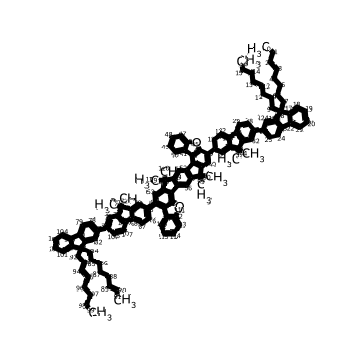 CCCCCCCCC1(CCCCCCCC)c2ccccc2-c2ccc(-c3ccc4c(c3)C(C)(C)c3cc(-c5cc6c(c7c5oc5ccccc57)-c5cc7c(cc5C6(C)C)-c5c(cc(-c6ccc8c(c6)C(C)(C)c6cc(-c9ccc%10c(c9)C(CCCCCCCC)(CCCCCCCC)c9ccccc9-%10)ccc6-8)c6c5oc5ccccc56)C7(C)C)ccc3-4)cc21